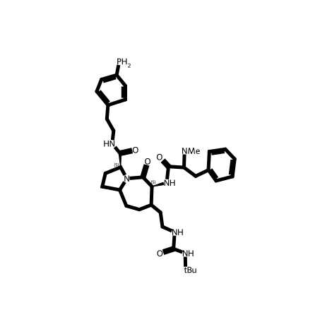 CNC(Cc1ccccc1)C(=O)N[C@@H]1C(=O)N2C(CCC1CCNC(=O)NC(C)(C)C)CC[C@H]2C(=O)NCCc1ccc(P)cc1